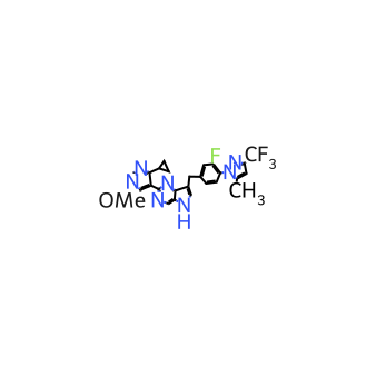 COc1ncnc(C2CC2)c1-c1ncc2[nH]cc(Cc3ccc(-n4nc(C(F)(F)F)cc4C)c(F)c3)c2n1